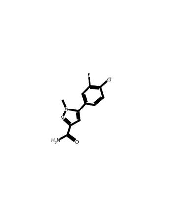 Cn1nc(C(N)=O)cc1-c1ccc(Cl)c(F)c1